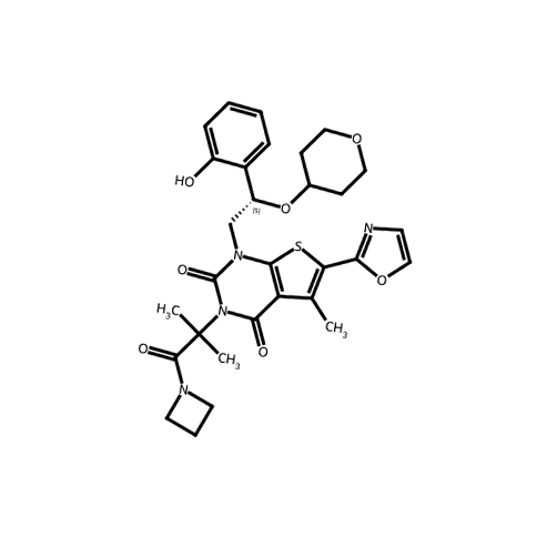 Cc1c(-c2ncco2)sc2c1c(=O)n(C(C)(C)C(=O)N1CCC1)c(=O)n2C[C@@H](OC1CCOCC1)c1ccccc1O